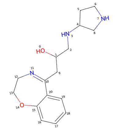 OC(CNC1CCNC1)CC1=NCCOc2ccccc21